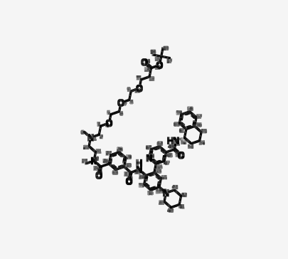 CN(CCOCCOCCOCCC(=O)OC(C)(C)C)CCN(C)C(=O)c1cccc(C(=O)Nc2ccc(N3CCCCC3)cc2-c2cc(C(=O)N[C@H]3CCCc4ccccc43)ccn2)c1